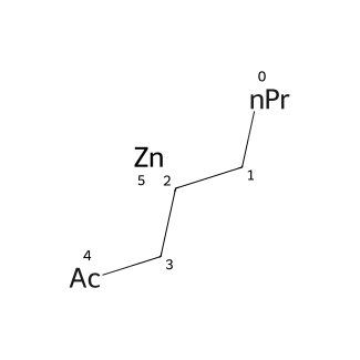 CCCCCCC(C)=O.[Zn]